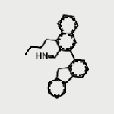 CCCCc1c(C=N)c(-c2cccc3c2Cc2ccccc2-3)cc2ccccc12